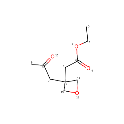 CCOC(=O)CC1(CC(C)=O)COC1